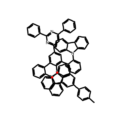 Cc1ccc(-c2ccc3c(c2)c2ccccc2n3-c2c(-c3ccccc3-n3c4ccccc4c4ccccc43)cc(-c3cc(-c4ccccc4)nc(-c4ccccc4)n3)cc2-c2ccccc2-n2c3ccccc3c3ccccc32)cc1